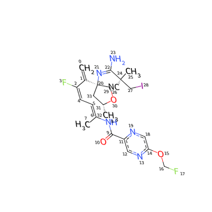 C=C(/C(F)=C\C=C(/C)NC(=O)c1cnc(OCF)cn1)[C@]1(/N=C(/N)[C@](C)(C#N)CI)CO[C@H](C)C1